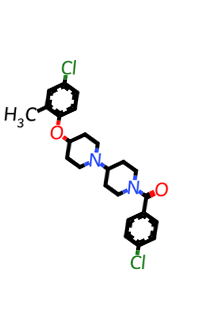 Cc1cc(Cl)ccc1OC1CCN(C2CCN(C(=O)c3ccc(Cl)cc3)CC2)CC1